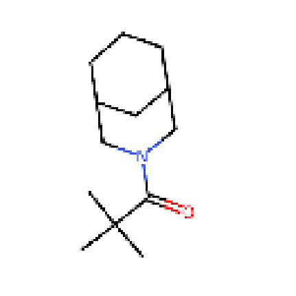 CC(C)(C)C(=O)N1CC2CCCC(C2)C1